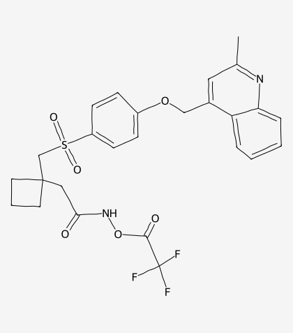 Cc1cc(COc2ccc(S(=O)(=O)CC3(CC(=O)NOC(=O)C(F)(F)F)CCC3)cc2)c2ccccc2n1